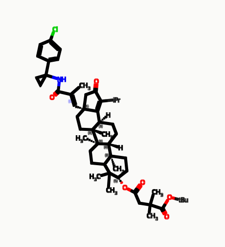 C/C(=C\[C@@]12CC[C@]3(C)[C@H](CC[C@@H]4[C@@]5(C)CC[C@H](OC(=O)CC(C)(C)C(=O)OC(C)(C)C)C(C)(C)C5CC[C@]43C)C1=C(C(C)C)C(=O)C2)C(=O)NC1(c2ccc(Cl)cc2)CC1